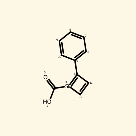 O=C(O)[Si]1=C(c2ccccc2)C=C1